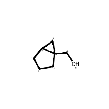 OC[C@@]12CCCC1C2